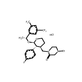 CCN1CCN(C[C@@H]2CCO[C@H](O[C@H](C)c3cc(C(F)(F)F)cc(C(F)(F)F)c3)[C@H]2c2ccc(F)cc2)C(=O)C1.Cl